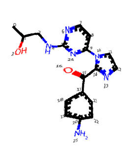 CC(O)CNc1nccc(-n2ccnc2C(=O)c2ccc(N)cc2)n1